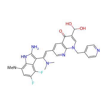 CNc1cc(F)c(F)c2c(/C(=C/c3cnc4c(c3)c(=O)c(C(O)O)cn4Cc3ccncc3)N(C)C)c(N)[nH]c12